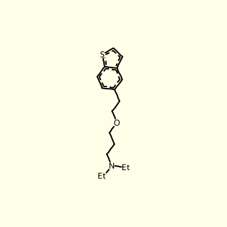 CCN(CC)CCCOCCc1ccc2sccc2c1